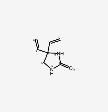 C=CC1(C=C)CNC(=O)N1